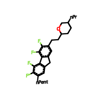 CCCCCc1cc2c(c(F)c1F)-c1c(cc(CCC3CCC(CCC)CO3)c(F)c1F)C2